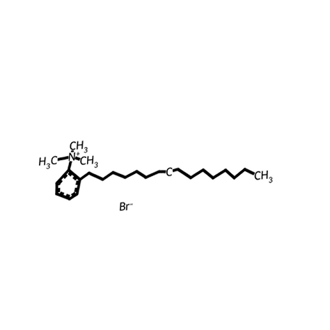 CCCCCCCCCCCCCCCCc1ccccc1[N+](C)(C)C.[Br-]